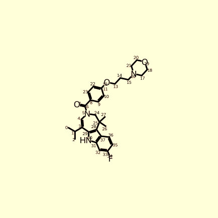 CC(C)C1=CN(C(=O)c2ccc(OCCCN3CCOCC3)cc2)CC(C)(C)c2c1[nH]c1cc(F)ccc21